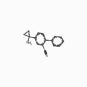 N#Cc1cc(C2(N)CC2)ccc1-c1ccccc1